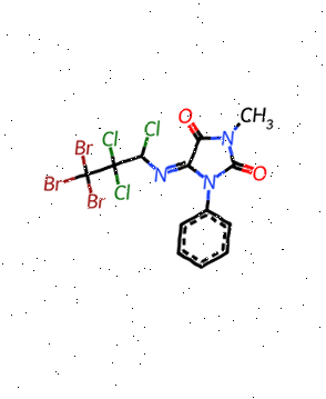 CN1C(=O)C(=NC(Cl)C(Cl)(Cl)C(Br)(Br)Br)N(c2ccccc2)C1=O